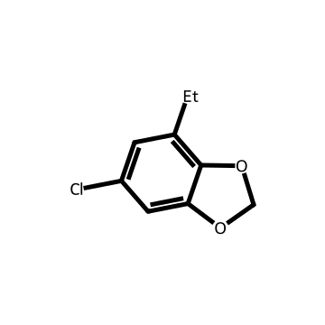 CCc1cc(Cl)cc2c1OCO2